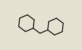 [CH]1CCCC(CC2CCCCC2)C1